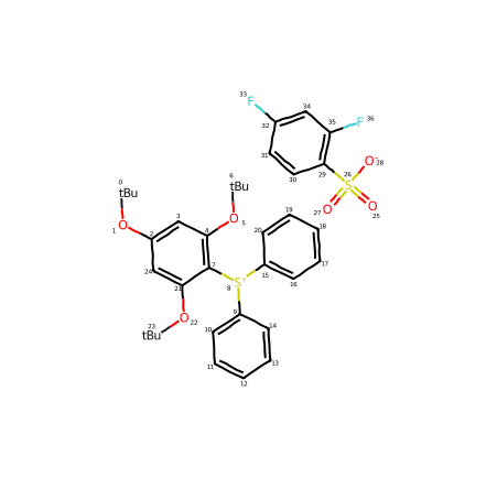 CC(C)(C)Oc1cc(OC(C)(C)C)c([S+](c2ccccc2)c2ccccc2)c(OC(C)(C)C)c1.O=S(=O)([O-])c1ccc(F)cc1F